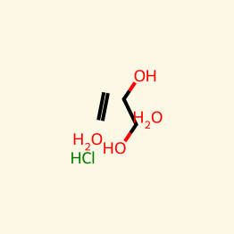 C=C.Cl.O.O.OCCO